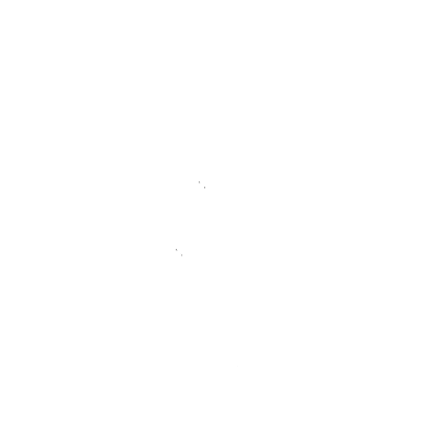 Cc1ccc(CN2CCN(c3ccc(O)cc3)CC2)cc1C